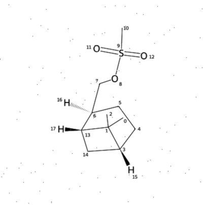 CC1(C)[C@@H]2CC[C@H](COS(C)(=O)=O)[C@H]1C2